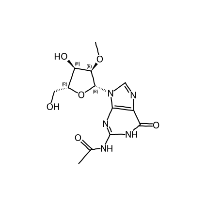 CO[C@@H]1[C@H](O)[C@@H](CO)O[C@H]1n1cnc2c(=O)[nH]c(NC(C)=O)nc21